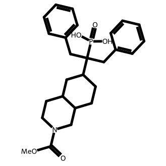 COC(=O)N1CCC2CC(C(Cc3ccccc3)(Cc3ccccc3)P(=O)(O)O)CCC2C1